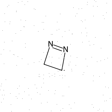 [CH]1CN=N1